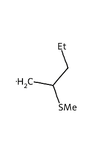 [CH2]C(CCC)SC